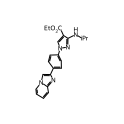 CCOC(=O)c1cn(-c2ccc(-c3cn4ccccc4n3)cc2)nc1NC(C)C